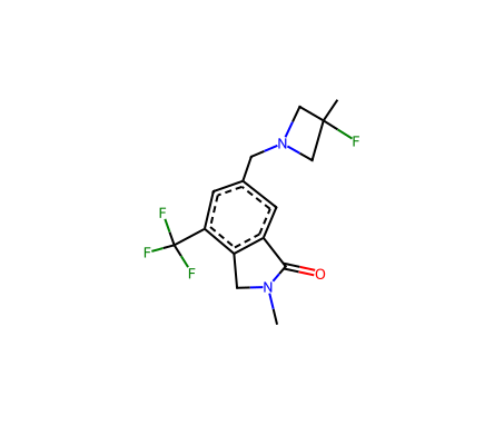 CN1Cc2c(cc(CN3CC(C)(F)C3)cc2C(F)(F)F)C1=O